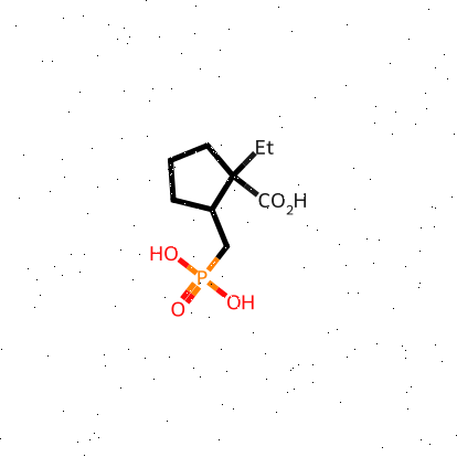 CCC1(C(=O)O)CCCC1CP(=O)(O)O